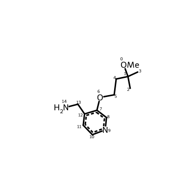 COC(C)(C)CCOc1cnccc1CN